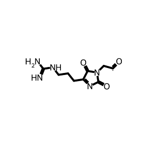 N=C(N)NCCCC1=NC(=O)N(C[C]=O)C1=O